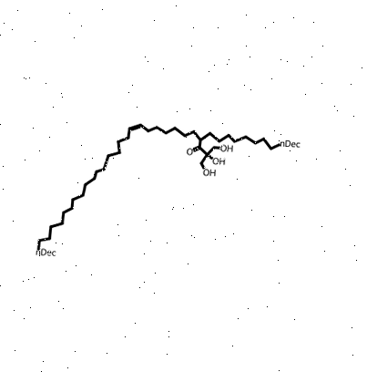 CCCCCCCCCCCCCCCCCCCCCCCCCC/C=C\CCCCCCC(CCCCCCCCCCCCCCCCCC)C(=O)C(O)(CO)CO